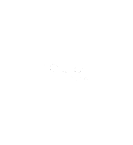 CC(C#Cc1ccc(F)cc1)NC(=O)OC(C)(C)C